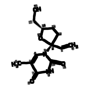 C=C[C@]1(n2cc(C)c(=O)[nH]c2=O)CC[C@@H](CO)O1